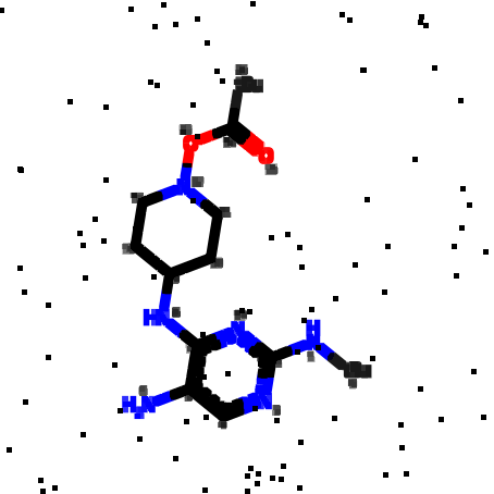 CC(C)(C)Nc1ncc(N)c(NC2CCN(OC(=O)C(C)(C)C)CC2)n1